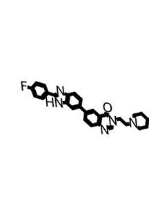 O=c1c2cc(-c3ccc4nc(-c5ccc(F)cc5)[nH]c4c3)ccc2ncn1CCN1CCCCC1